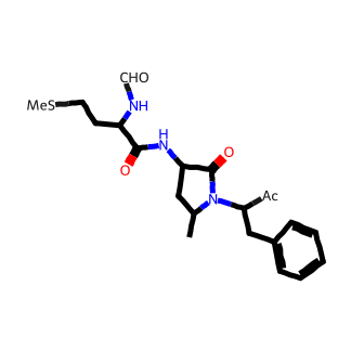 CSCCC(NC=O)C(=O)NC1CC(C)N(C(Cc2ccccc2)C(C)=O)C1=O